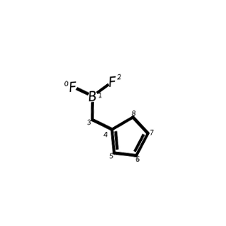 FB(F)CC1=CC=CC1